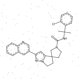 CC(C)(NC(=O)N1CCC2(CCn3nc(-c4cnc5ccccc5c4)cc32)C1)c1ccccc1Cl